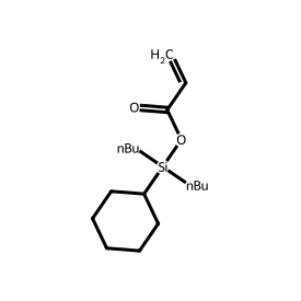 C=CC(=O)O[Si](CCCC)(CCCC)C1CCCCC1